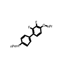 CCCCCc1ccc(-c2ccc(OCCC)c(F)c2F)cc1